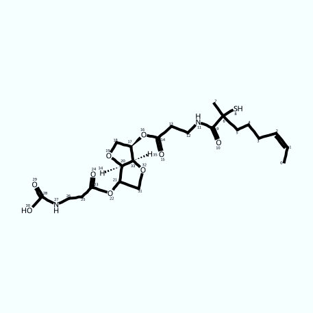 C/C=C\CCCC(C)(S)C(=O)NCCC(=O)O[C@@H]1CO[C@@H]2C(OC(=O)CCNC(=O)O)CO[C@@H]21